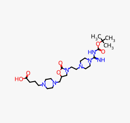 CC(C)(C)OC(=O)NC(=N)N1CCN(CCN2CC(CN3CCN(CCCC(=O)O)CC3)OC2=O)CC1